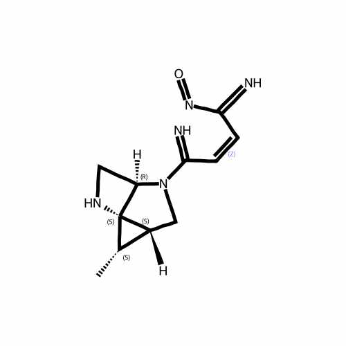 C[C@H]1[C@H]2CN(C(=N)/C=C\C(=N)N=O)[C@@H]3CN[C@]213